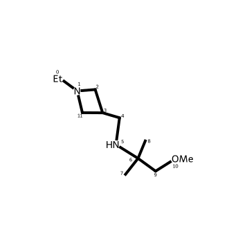 CCN1CC(CNC(C)(C)COC)C1